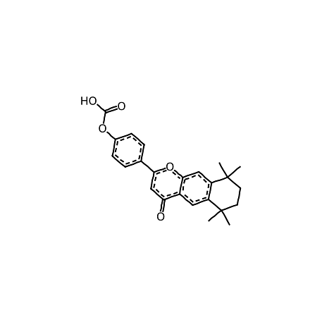 CC1(C)CCC(C)(C)c2cc3c(=O)cc(-c4ccc(OC(=O)O)cc4)oc3cc21